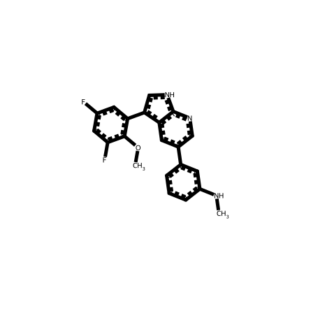 CNc1cccc(-c2cnc3[nH]cc(-c4cc(F)cc(F)c4OC)c3c2)c1